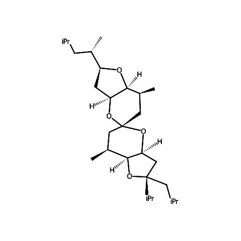 CC(C)C[C@H](C)[C@@H]1C[C@@H]2O[C@@]3(C[C@H](C)[C@@H]2O1)C[C@H](C)[C@@H]1O[C@](CC(C)C)(C(C)C)C[C@@H]1O3